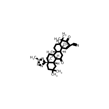 Cn1nnc([C@]23CCC(C)(C)C[C@H]2[C@H]2C(=O)C[C@@H]4[C@@]5(C)C=C(C#N)C(=O)C(C)(C)[C@@H]5CC[C@@]4(C)[C@]2(C)CC3)n1